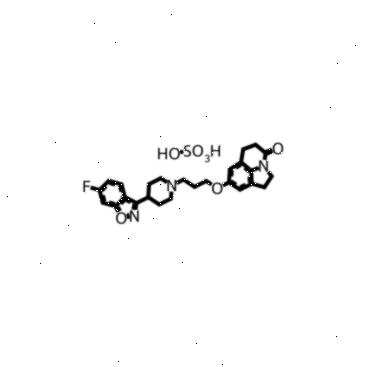 O=C1CCc2cc(OCCCN3CCC(c4noc5cc(F)ccc45)CC3)cc3c2N1CC3.O=S(=O)(O)O